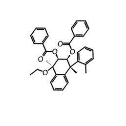 CCO[C@]1(C)c2ccccc2[C@@](C)(c2ccccc2C)[C@H](OC(=O)c2ccccc2)[C@@H]1OC(=O)c1ccccc1